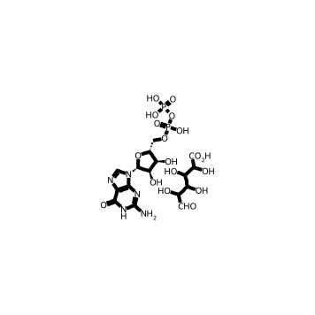 Nc1nc2c(ncn2[C@@H]2O[C@H](COP(=O)(O)OP(=O)(O)O)[C@@H](O)[C@H]2O)c(=O)[nH]1.O=CC(O)C(O)C(O)C(O)C(=O)O